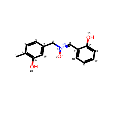 Cc1ccc(C/[N+]([O-])=C/c2ccccc2O)cc1O